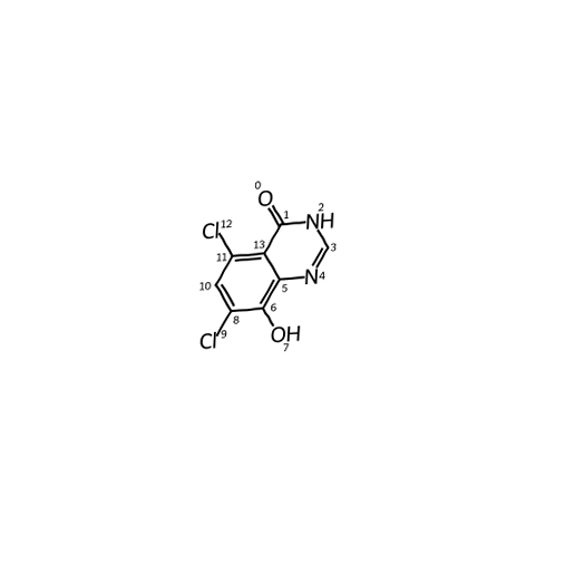 O=c1[nH]cnc2c(O)c(Cl)cc(Cl)c12